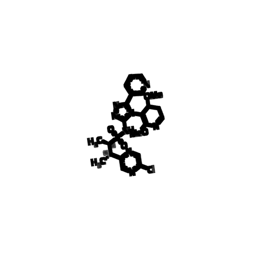 COC1=C(n2c(NS(=O)(=O)[C@H](C)[C@@H](C)c3cnc(Cl)cn3)nnc2-c2cccnc2)C(OC)CC=N1